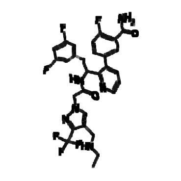 CCNCc1cn(CC(=O)NC(Cc2cc(F)cc(F)c2)c2ncccc2-c2ccc(F)c(C(N)=O)c2)nc1C(F)(F)F